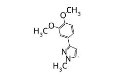 COc1ccc(-c2c[c]n(C)n2)cc1OC